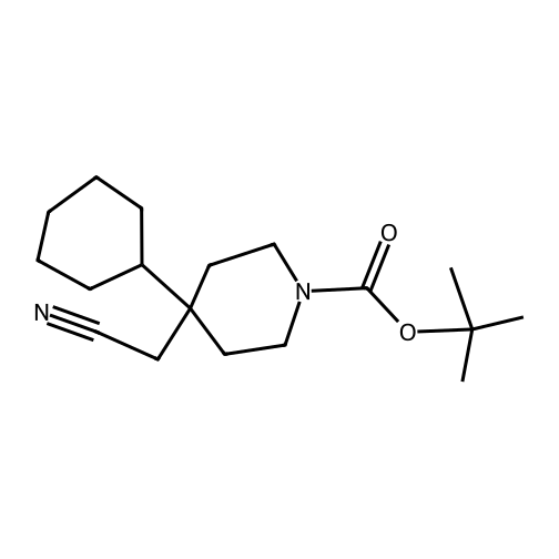 CC(C)(C)OC(=O)N1CCC(CC#N)(C2CCCCC2)CC1